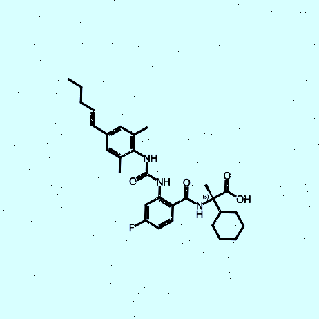 CCCC=Cc1cc(C)c(NC(=O)Nc2cc(F)ccc2C(=O)N[C@](C)(C(=O)O)C2CCCCC2)c(C)c1